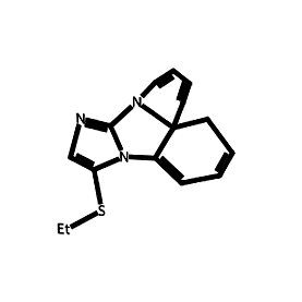 CCSc1cnc2n1C1=CC=CCC13C=CC=CN23